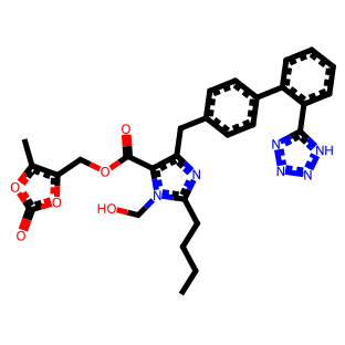 CCCCc1nc(Cc2ccc(-c3ccccc3-c3nnn[nH]3)cc2)c(C(=O)OCc2oc(=O)oc2C)n1CO